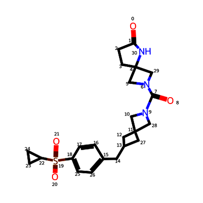 O=C1CCC2(CN(C(=O)N3CC4(CC(Cc5ccc(S(=O)(=O)C6CC6)cc5)C4)C3)C2)N1